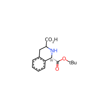 CC(C)(C)OC(=O)[C@H]1NC(C(=O)O)Cc2ccccc21